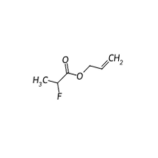 C=CCOC(=O)C(C)F